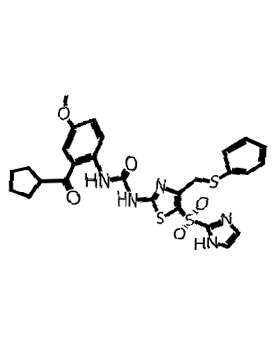 COc1ccc(NC(=O)Nc2nc(CSc3ccccc3)c(S(=O)(=O)c3ncc[nH]3)s2)c(C(=O)C2CCCC2)c1